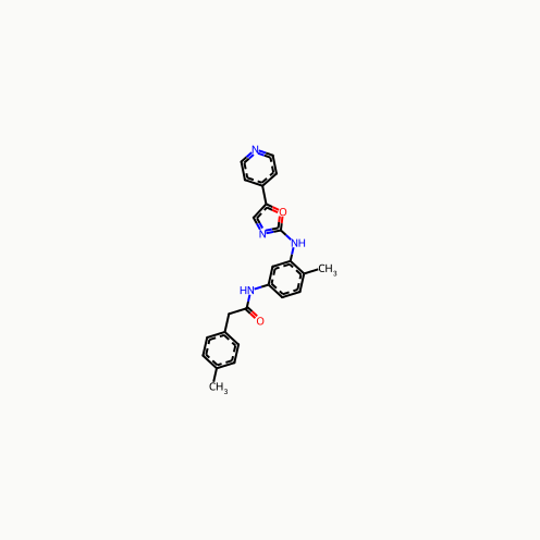 Cc1ccc(CC(=O)Nc2ccc(C)c(Nc3ncc(-c4ccncc4)o3)c2)cc1